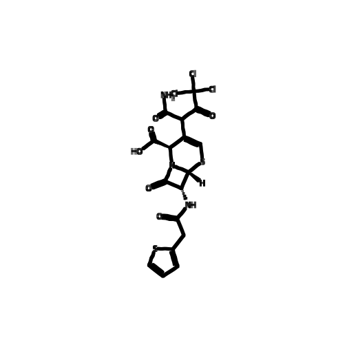 NC(=O)C(C(=O)C(Cl)(Cl)Cl)C1=CS[C@@H]2[C@H](NC(=O)Cc3cccs3)C(=O)N2[C@H]1C(=O)O